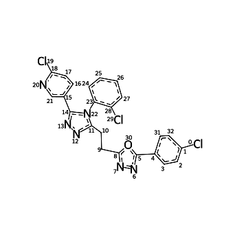 Clc1ccc(-c2nnc(CCc3nnc(-c4ccc(Cl)nc4)n3-c3ccccc3Cl)o2)cc1